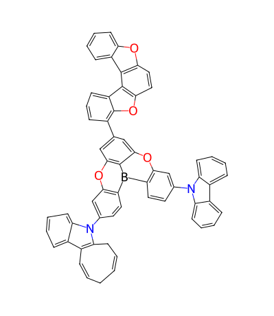 C1=C\Cc2c(c3ccccc3n2-c2ccc3c(c2)Oc2cc(-c4cccc5c4oc4ccc6oc7ccccc7c6c45)cc4c2B3c2ccc(-n3c5ccccc5c5ccccc53)cc2O4)/C=C\C/1